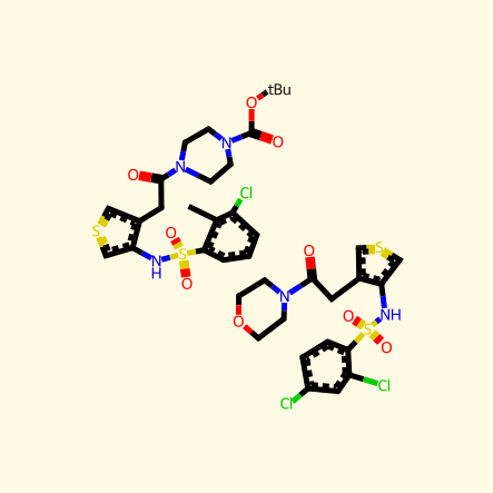 Cc1c(Cl)cccc1S(=O)(=O)Nc1cscc1CC(=O)N1CCN(C(=O)OC(C)(C)C)CC1.O=C(Cc1cscc1NS(=O)(=O)c1ccc(Cl)cc1Cl)N1CCOCC1